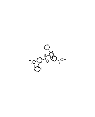 C[C@H](O)c1ccn2c(NC(=O)c3ccc(C(F)(F)F)c(-c4ncccn4)c3)c(-c3ccccc3)nc2c1